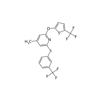 Cc1cc(Oc2ccc(C(F)(F)F)s2)nc(Sc2cccc(C(F)(F)F)c2)c1